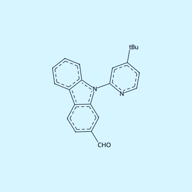 CC(C)(C)c1ccnc(-n2c3ccccc3c3ccc(C=O)cc32)c1